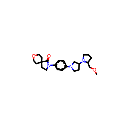 COCC1CCCN1C1CCN(c2ccc(N3CCC4(CCOCC4)C3=O)cc2)C1